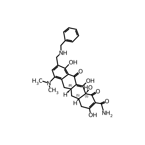 CN(C)c1cc(CNCc2ccccc2)c(O)c2c1C[C@H]1C[C@H]3CC(O)=C(C(N)=O)C(=O)[C@@]3(O)C(O)=C1C2=O